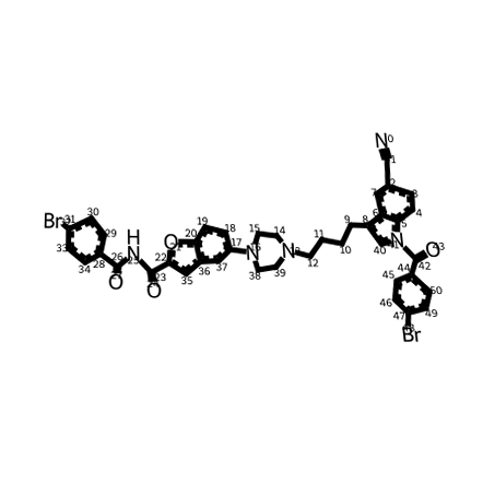 N#Cc1ccc2c(c1)c(CCCCN1CCN(c3ccc4oc(C(=O)NC(=O)c5ccc(Br)cc5)cc4c3)CC1)cn2C(=O)c1ccc(Br)cc1